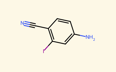 N#Cc1ccc(N)cc1I